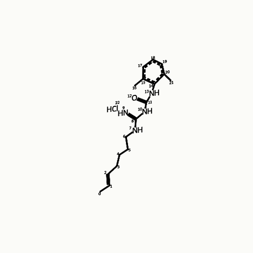 CC=CCCCCNC(=N)NC(=O)Nc1c(C)cccc1C.Cl